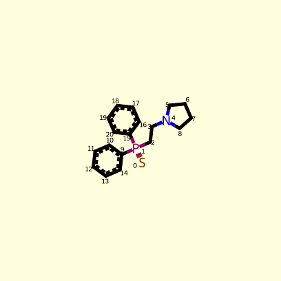 S=P(CCN1CCCC1)(c1ccccc1)c1ccccc1